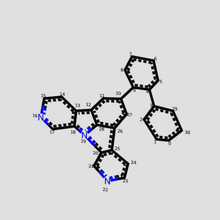 c1ccc(-c2ccccc2-c2cc3c4ccncc4n4c5cnccc5c(c2)c34)cc1